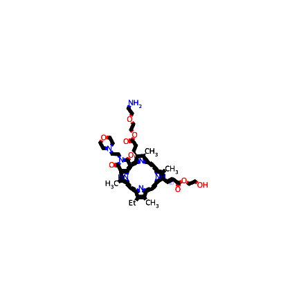 CCC1=C(C)c2cc3[nH]c(cc4nc(c5c6[nH]c(cc1n2)c(C)c6C(=O)N(CCN1CCOCC1)C5=O)[C@@H](CCC(=O)OCCOCCN)[C@@H]4C)c(C)c3/C=C/C(=O)OCCO